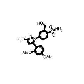 COc1ccc(-c2cc(C(F)(F)F)nn2-c2ccc(S(N)(=O)=O)c(CO)c2)c(OC)c1